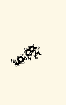 CCC(CC)n1c(=O)ccc2cnc(Nc3ccc4[nH]ccc4c3)nc21